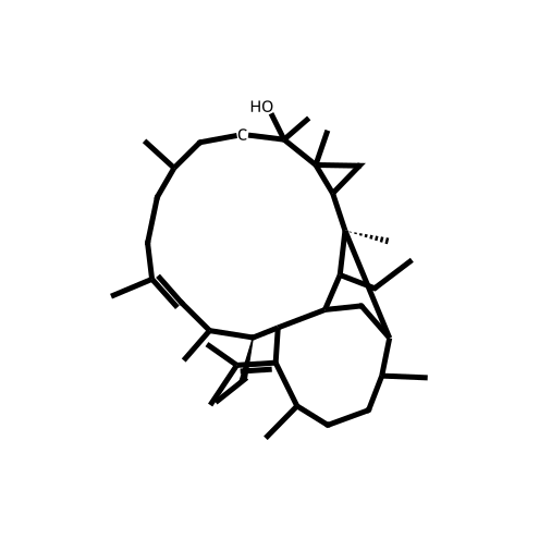 CCC1C2CC3C(C)CCC(C)C(=C(C)C)C2[C@@H](CC)C(C)/C=C(\C)CCC(C)CCC(C)(O)C2(C)CC2[C@@]31C